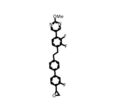 COc1ncc(-c2ccc(CCc3ccc(-c4ccc(C5CO5)c(F)c4)cc3)c(F)c2F)cn1